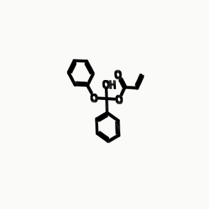 C=CC(=O)OC(O)(Oc1ccccc1)c1ccccc1